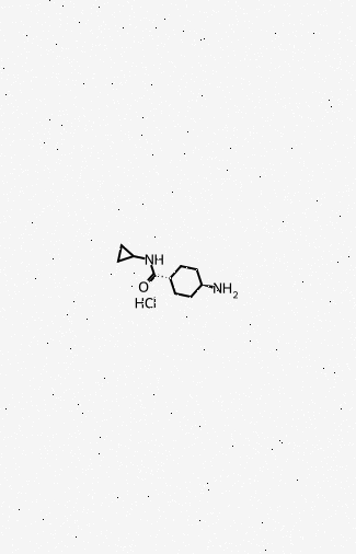 Cl.N[C@H]1CC[C@H](C(=O)NC2CC2)CC1